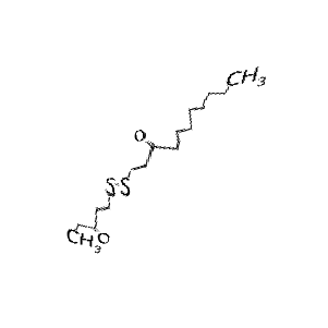 CCCCCCCCC(=O)CCSSCCC(=O)CC